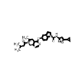 CC(C)CC(=O)N1Cc2ncnc(Oc3ccc4c(ccn4C(=O)Nc4cc(C5CC5)on4)c3)c2C[C@@H]1C